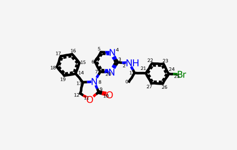 CC(Nc1nccc(N2C(=O)OCC2c2ccccc2)n1)c1ccc(Br)cc1